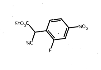 CCOC(=O)C(C#N)c1ccc([N+](=O)[O-])cc1F